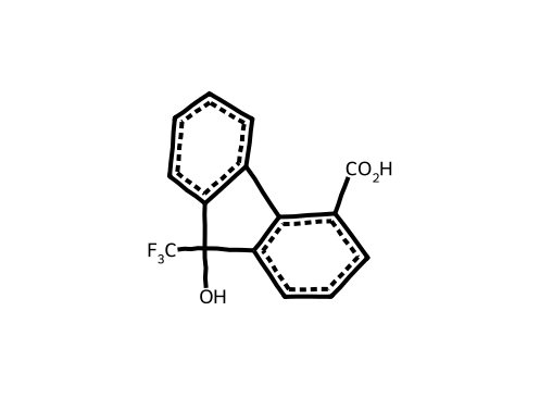 O=C(O)c1cccc2c1-c1ccccc1C2(O)C(F)(F)F